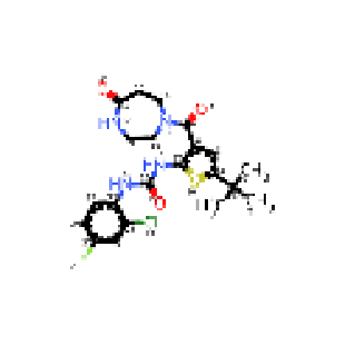 CC(C)(C)c1cc(C(=O)N2CCNC(=O)CC2)c(NC(=O)Nc2ccc(F)cc2Cl)s1